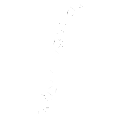 CC1(C)[C@H](NC(=O)c2ccc(N3CCC(CCN4CCN(c5cc6c(cc5F)C(=O)N(C5CCC(=O)NC5=O)C6=O)CC4)CC3)nn2)C(C)(C)[C@H]1Oc1ccc(C#N)c(Cl)c1